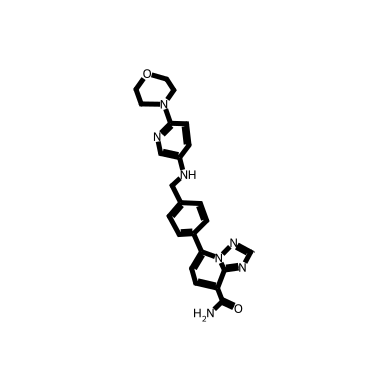 NC(=O)c1ccc(-c2ccc(CNc3ccc(N4CCOCC4)nc3)cc2)n2n[c]nc12